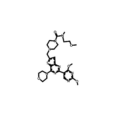 COCCN(C)C(=O)N1CCN(Cc2cc3nc(-c4cnc(OC)nc4OC)nc(N4CCOCC4)c3s2)CC1